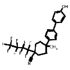 CC1(c2ccc(-c3ccc(O)cc3)cc2)CCC(C#N)(C(F)(F)C(F)(F)C(F)(F)C(F)(F)F)CC1